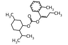 CC/C=C(/OC(=O)OC1CC(C)CCC1C(C)C)c1ccccc1C